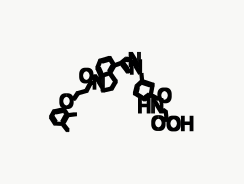 Cc1cccc(OCCCC(=O)N2CCCc3c(-c4cnn(Cc5cccc(C(=O)NCC(=O)O)c5)c4)cccc32)c1C